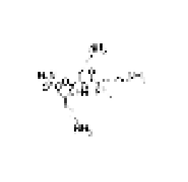 NCCCCC(COC(N)=O)NC(=O)C(CCCCN)NC(=O)C(N)CCCCN